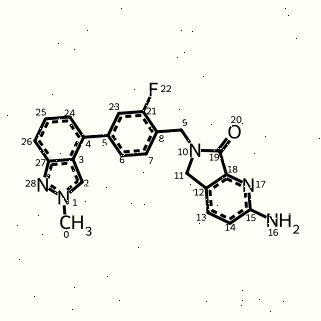 Cn1cc2c(-c3ccc(CN4Cc5ccc(N)nc5C4=O)c(F)c3)cccc2n1